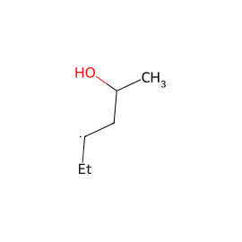 CC[CH]CC(C)O